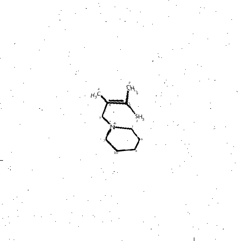 CC([SiH3])=C(C)CN1CCCCC1